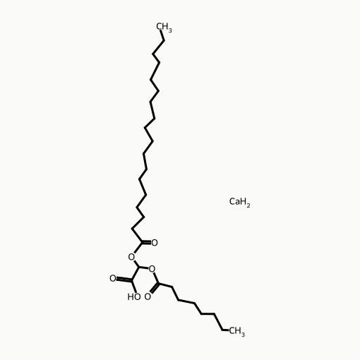 CCCCCCCCCCCCCCCCCC(=O)OC(OC(=O)CCCCCCC)C(=O)O.[CaH2]